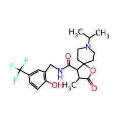 CC1C(=O)OC2(CCN(C(C)C)CC2)C1C(=O)NCc1cc(C(F)(F)F)ccc1O